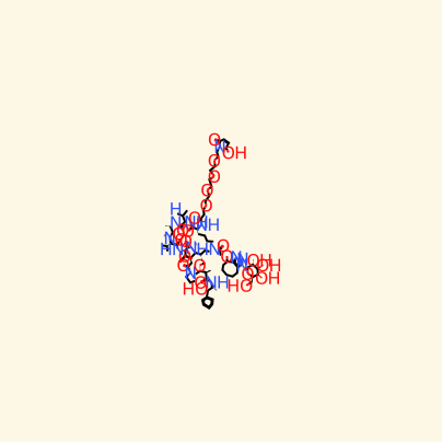 CC[C@H](C)[C@@H]([C@@H](CC(=O)N1CCC[C@H]1[C@H](OC)[C@@H](C)C(=O)N[C@H](C)[C@@H](O)c1ccccc1)OC)N(C)C(=O)[C@@H](NC(=O)[C@H](C(C)C)N(C)C(=O)[C@H](C)NC(=O)[C@@H](NC(=O)[C@@H](CCCCNC(=O)COC1CCCCCc2c1nnn2[C@@H]1O[C@H](CO)[C@H](O)[C@H](O)[C@H]1O)NC(=O)CCOCCOCCOCCOCCN1C(=O)C=CC1O)C(C)C)C(C)C